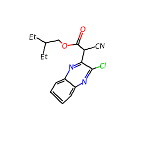 CCC(CC)COC(=O)C(C#N)c1nc2ccccc2nc1Cl